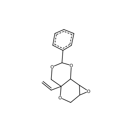 C=CC12COC(c3ccccc3)OC1C1OC1CO2